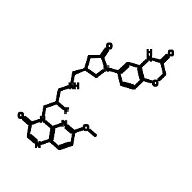 COc1ccc2ncc(=O)n(CC(F)CNC[C@H]3CC(=O)N(c4ccc5c(c4)NC(=O)CO5)C3)c2n1